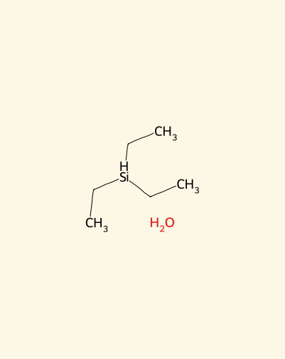 CC[SiH](CC)CC.O